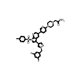 Cc1ccc(S(=O)(=O)n2cc(-c3cnn(Cc4cc(F)cc(F)c4)c3)c3cc(-c4ccc(N5CCN(CC(N)=O)CC5)nc4)cnc32)cc1